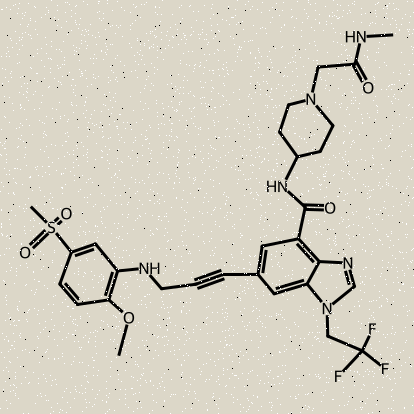 CNC(=O)CN1CCC(NC(=O)c2cc(C#CCNc3cc(S(C)(=O)=O)ccc3OC)cc3c2ncn3CC(F)(F)F)CC1